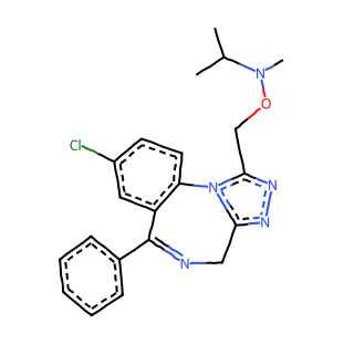 CC(C)N(C)OCc1nnc2n1-c1ccc(Cl)cc1C(c1ccccc1)=NC2